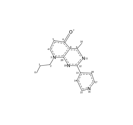 CCCn1ccc(=O)c2c(C)nc(-c3ccncc3)nc21